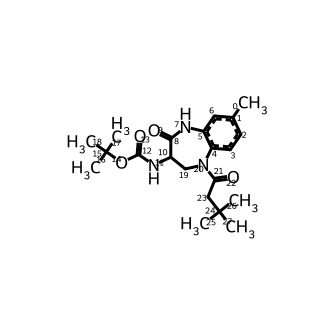 Cc1ccc2c(c1)NC(=O)C(NC(=O)OC(C)(C)C)CN2C(=O)CC(C)(C)C